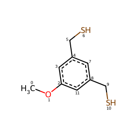 COc1cc(CS)cc(CS)c1